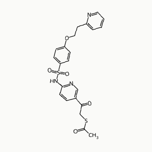 CC(=O)SCC(=O)c1ccc(NS(=O)(=O)c2ccc(OCCc3ccccn3)cc2)nc1